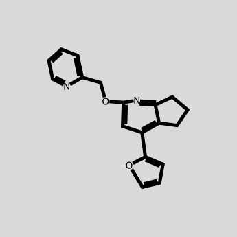 c1ccc(COc2cc(-c3ccco3)c3c(n2)CCC3)nc1